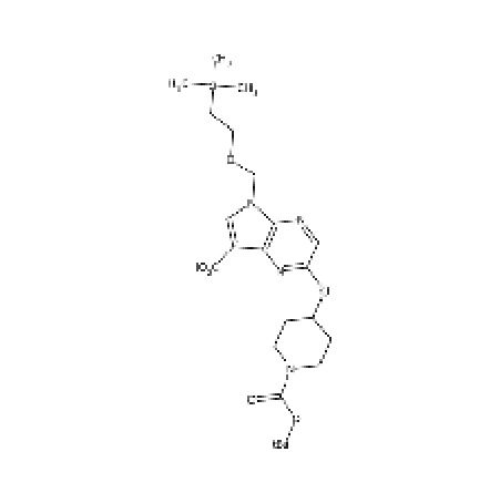 CC(C)(C)OC(=O)N1CCC(Oc2cnc3c(n2)c(C(=O)O)cn3COCC[Si](C)(C)C)CC1